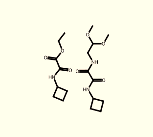 CCOC(=O)C(=O)NC1CCC1.COC(CNC(=O)C(=O)NC1CCC1)OC